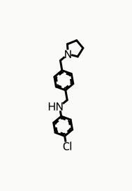 Clc1ccc(NCc2ccc(CN3CCCC3)cc2)cc1